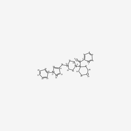 O=C(c1ccccn1)C1(N2CCN(Cc3cnn(-c4ccccc4)c3)CC2)CCOCC1